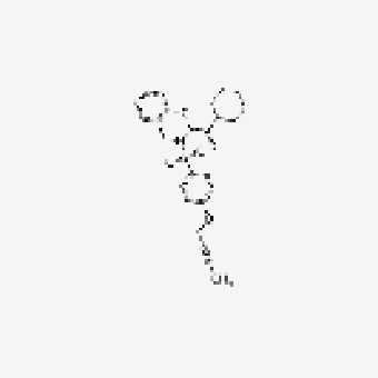 CC#CCOc1ccc(S(=O)(=O)N(Cc2cccnc2)N(O)C(=O)C2CCCCC2)cc1